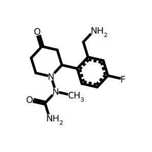 CN(C(N)=O)N1CCC(=O)CC1c1ccc(F)cc1CN